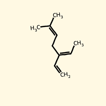 C=CC(=CC)CC=C(C)C